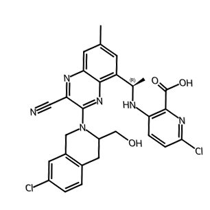 Cc1cc([C@@H](C)Nc2ccc(Cl)nc2C(=O)O)c2nc(N3Cc4cc(Cl)ccc4CC3CO)c(C#N)nc2c1